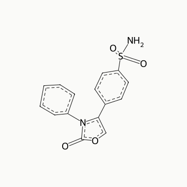 NS(=O)(=O)c1ccc(-c2coc(=O)n2-c2ccccc2)cc1